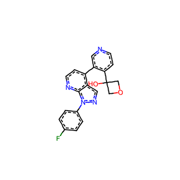 OC1(c2ccncc2-c2ccnc3c2cnn3-c2ccc(F)cc2)COC1